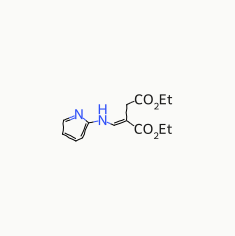 CCOC(=O)CC(=CNc1ccccn1)C(=O)OCC